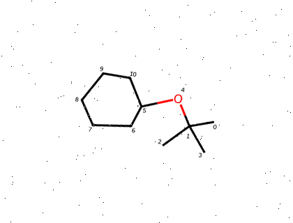 CC(C)(C)O[C]1CCCCC1